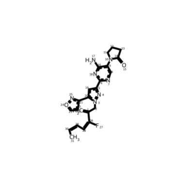 C=C(Cn1nc(-c2ncc(N3CCCC3=O)c(N)n2)cc1-c1ccon1)/C(F)=C\C=C/C